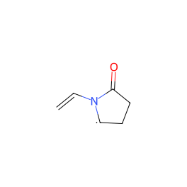 C=CN1[CH]CCC1=O